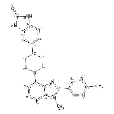 Cc1ncc(-c2nc3c(N4CCC(c5ccc6c(c5)[N]C(=O)N6)CC4)ncnc3n2C)cn1